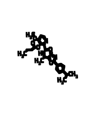 CCCC(=O)Oc1c(OC)ccnc1C(=O)N[C@@H](C)c1nnc(-c2ccc(C(C)C)cc2)o1